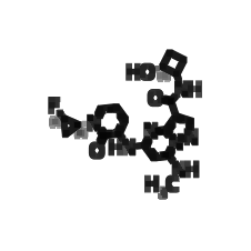 CNc1cc(Nc2cccn([C@@H]3C[C@H]3F)c2=O)nc2c(C(=O)NC3CC[C@H]3O)cnn12